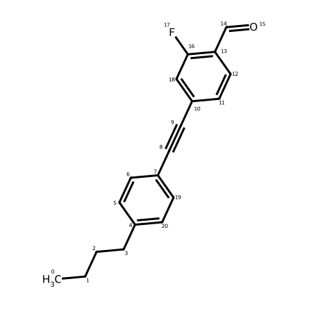 CCCCc1ccc(C#Cc2ccc(C=O)c(F)c2)cc1